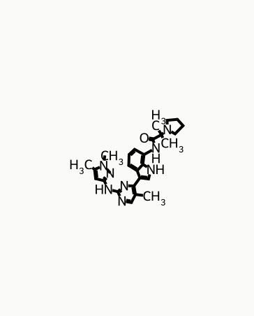 Cc1cnc(Nc2cc(C)n(C)n2)nc1-c1c[nH]c2c(NC(=O)C(C)(C)N3CCCC3)cccc12